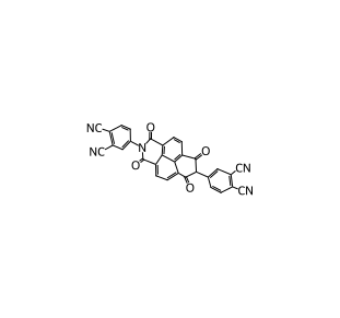 N#Cc1ccc(C2C(=O)c3ccc4c5c(ccc(c35)C2=O)C(=O)N(c2ccc(C#N)c(C#N)c2)C4=O)cc1C#N